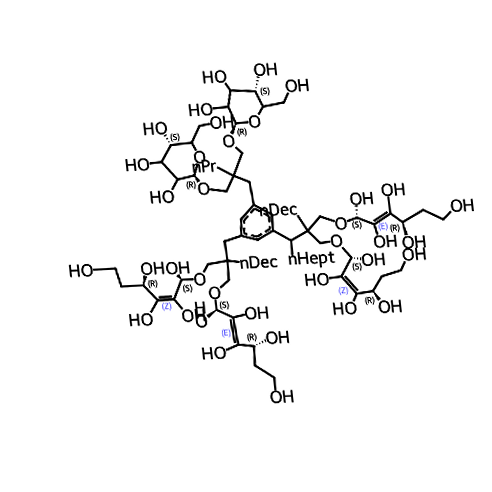 CCCCCCCCCCC(CO[C@H](O)/C(O)=C(/O)[C@H](O)CCO)(CO[C@H](O)/C(O)=C(\O)[C@H](O)CCO)Cc1cc(CC(CCC)(CO[C@@H]2OC(CO)[C@@H](O)C(O)C2O)CO[C@@H]2OC(CO)[C@@H](O)C(O)C2O)cc(C(CCCCCCC)C(CCCCCCCCCC)(CO[C@H](O)/C(O)=C(/O)[C@H](O)CCO)CO[C@H](O)/C(O)=C(\O)[C@H](O)CCO)c1